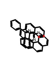 c1ccc(-c2nc(-n3c4ccc5ccc6ccc7ccc8ccc9ccc3c3c9c8c7c6c5c34)nc3ccccc23)cc1